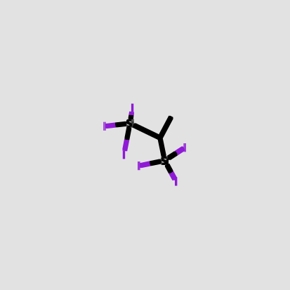 CC([Si](I)(I)I)[Si](I)(I)I